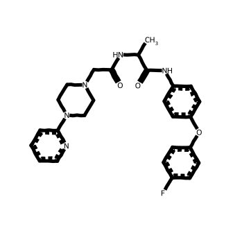 CC(NC(=O)CN1CCN(c2ccccn2)CC1)C(=O)Nc1ccc(Oc2ccc(F)cc2)cc1